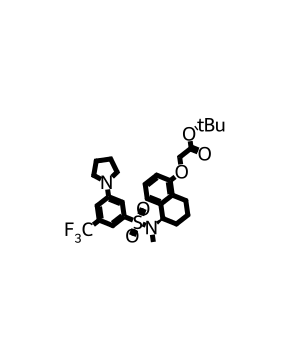 CN([C@@H]1CCCc2c(OCC(=O)OC(C)(C)C)cccc21)S(=O)(=O)c1cc(N2CCCC2)cc(C(F)(F)F)c1